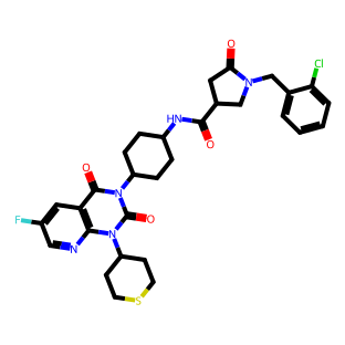 O=C(NC1CCC(n2c(=O)c3cc(F)cnc3n(C3CCSCC3)c2=O)CC1)C1CC(=O)N(Cc2ccccc2Cl)C1